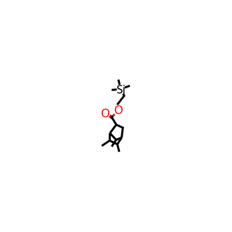 CC1C(C)C2C(C(=O)OCC[Si](C)(C)C)CC1C2C